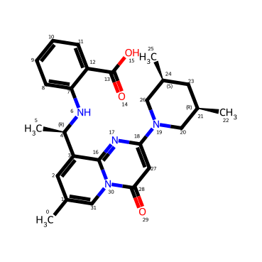 Cc1cc([C@@H](C)Nc2ccccc2C(=O)O)c2nc(N3C[C@H](C)C[C@H](C)C3)cc(=O)n2c1